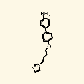 Nc1ccc(-c2ccc(OCCCCn3ccnc3)cc2)cc1